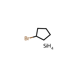 BrC1CCCC1.[SiH4]